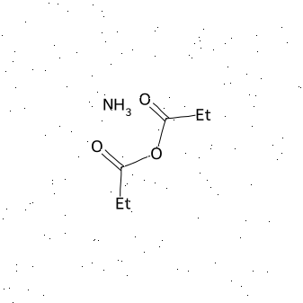 CCC(=O)OC(=O)CC.N